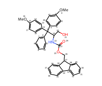 COc1ccc(C(c2ccccc2)(c2ccc(OC)cc2)C(CO)NC(=O)OCC2c3ccccc3-c3ccccc32)cc1